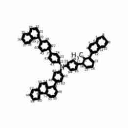 CC1C(c2ccc3ccccc3c2)=CC=CC1c1ccc(N(c2ccc(-c3ccc(-c4cccc5ccccc45)cc3)cc2)c2ccc(-c3cccc4c3ccc3ccccc34)cc2)cc1